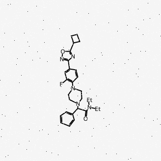 CCN(CC)C(=O)C(c1ccccc1)N1CCN(c2ccc(-c3noc(C4CCC4)n3)cc2F)CC1